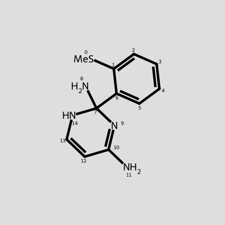 CSc1ccccc1C1(N)N=C(N)C=CN1